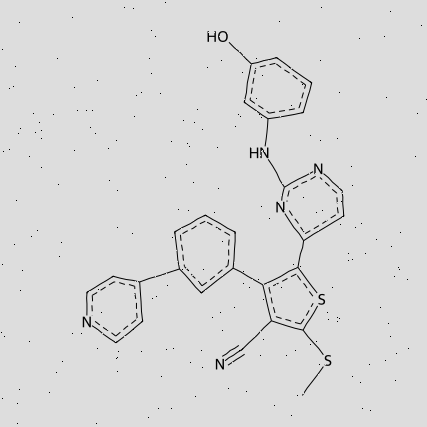 CSc1sc(-c2ccnc(Nc3cccc(O)c3)n2)c(-c2cccc(-c3ccncc3)c2)c1C#N